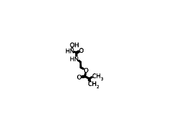 C=C(C)C(=O)OCCNC(=O)NO